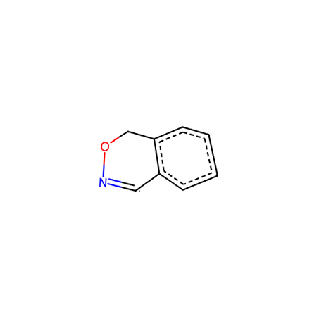 [C]1=NOCc2ccccc21